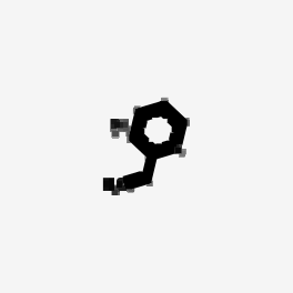 C=Cc1ccccn1.P